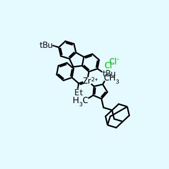 CC/[C](c1ccccc1)=[Zr+2](\[C]1=C(C)C(CC23CC4CC(CC(C4)C2)C3)=CC1C)[c]1c(C(C)(C)C)ccc2c1Cc1cc(C(C)(C)C)ccc1-2.[Cl-].[Cl-]